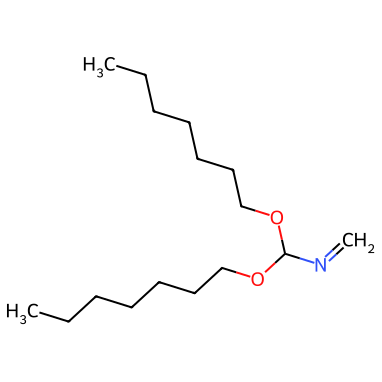 C=NC(OCCCCCCC)OCCCCCCC